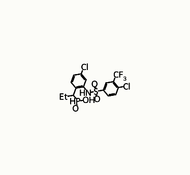 CCC(c1ccc(Cl)cc1NS(=O)(=O)c1ccc(Cl)c(C(F)(F)F)c1)[PH](=O)O